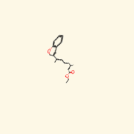 CCOC(=O)C=C(C)C=CC=C(C)C1=Cc2ccccc2OC1